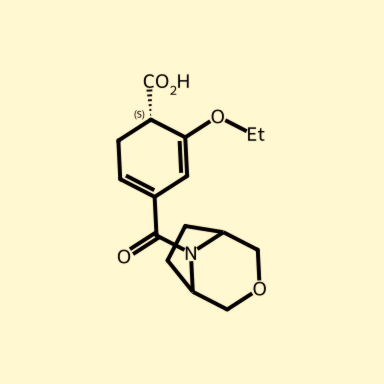 CCOC1=CC(C(=O)N2C3CCC2COC3)=CC[C@@H]1C(=O)O